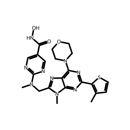 Cc1ccsc1-c1nc(N2CCOCC2)c2nc(CN(C)c3ncc(C(=O)NO)cn3)n(C)c2n1